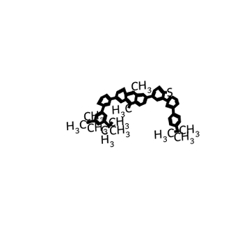 Cc1c2ccc(-c3ccc4sc5ccc(-c6ccc(C(C)(C)C)cc6)cc5c4c3)cc2c(C)c2ccc(-c3cccc(-c4cc(C(C)(C)C)cc(C(C)(C)C)c4)c3)cc12